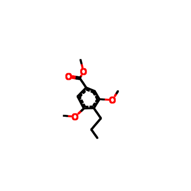 CCCc1c(OC)cc(C(=O)OC)cc1OC